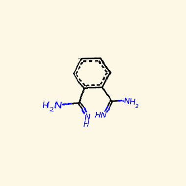 N=C(N)c1c[c]ccc1C(=N)N